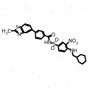 Cc1nc2cc(-c3ccc(C(=O)NS(=O)(=O)c4ccc(NCC5CCCCC5)c([N+](=O)[O-])c4)cc3)ccc2s1